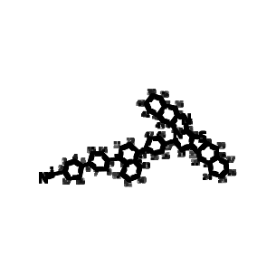 N#Cc1ccc(-c2ccc(-c3ccc(-c4ccc(-c5cc6c7cc8ccccc8cc7sc6c6nc7cc8ccccc8cc7n56)cc4)c4ccccc34)cc2)cc1